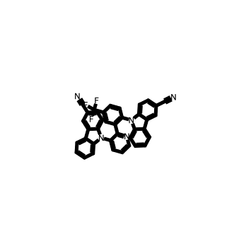 N#Cc1ccc2c(c1)c1ccccc1n2-c1ccc(C(F)(F)F)cc1-c1ncccc1-n1c2ccccc2c2cc(C#N)ccc21